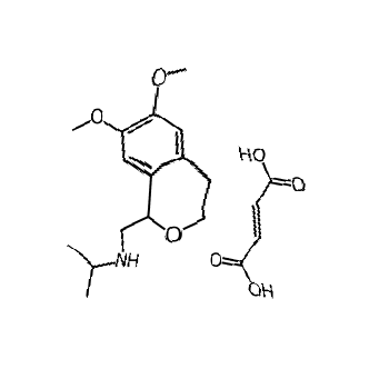 COc1cc2c(cc1OC)C(CNC(C)C)OCC2.O=C(O)C=CC(=O)O